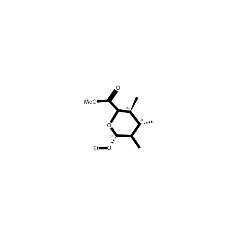 CCO[C@@H]1OC(C(=O)OC)[C@@H](C)[C@H](C)C1C